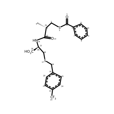 C[C@H](CSC(=O)c1ccccc1)C(=O)N[C@@H](CSCc1ccc(C(F)(F)F)cc1)C(=O)O